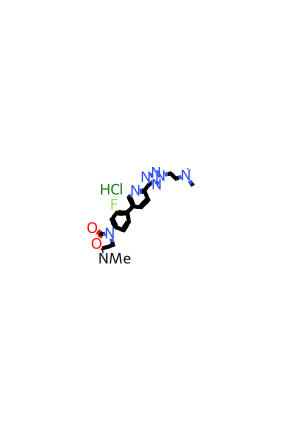 CN[C@H]1CN(c2ccc(-c3ccc(-c4nnn(CCN(C)C)n4)nc3)c(F)c2)C(=O)O1.Cl